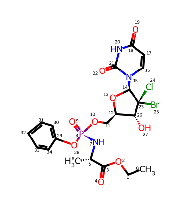 CCOC(=O)[C@H](C)N[P@@](=O)(OC[C@H]1O[C@@H](n2ccc(=O)[nH]c2=O)[C@](Cl)(Br)[C@@H]1O)Oc1ccccc1